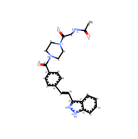 CC(C)C(=O)NCC(=O)N1CCN(C(=O)c2ccc(C=Cc3n[nH]c4ccccc34)cc2)CC1